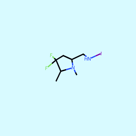 CC1N(C)C(CNI)CC1(F)F